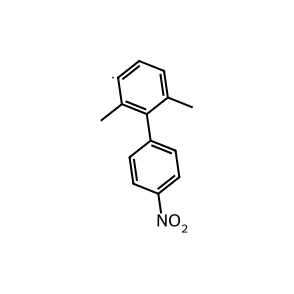 Cc1[c]ccc(C)c1-c1ccc([N+](=O)[O-])cc1